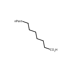 CCCCC[CH]CCCCCC(=O)O